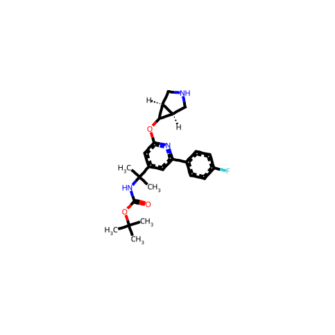 CC(C)(C)OC(=O)NC(C)(C)c1cc(OC2[C@H]3CNC[C@@H]23)nc(-c2ccc(F)cc2)c1